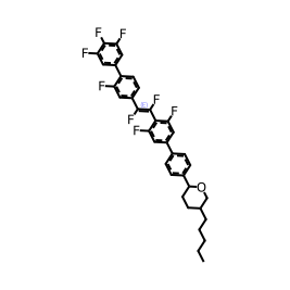 CCCCCC1CCC(c2ccc(-c3cc(F)c(/C(F)=C(\F)c4ccc(-c5cc(F)c(F)c(F)c5)c(F)c4)c(F)c3)cc2)OC1